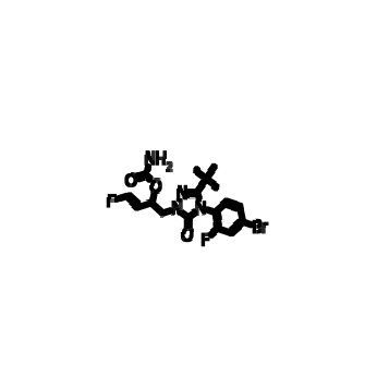 CC(C)(C)c1nn(CC(C=CF)OC(N)=O)c(=O)n1-c1ccc(Br)cc1F